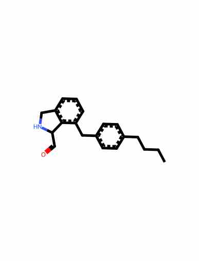 CCCCc1ccc(Cc2cccc3c2C(C=O)NC3)cc1